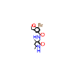 Cc1cc(C)c(CNC(=O)c2cc(Br)c3c(c2)CCO3)c(=O)[nH]1